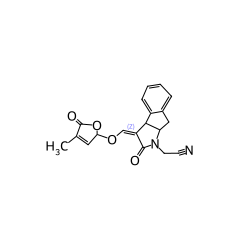 CC1=CC(O/C=C2\C(=O)N(CC#N)C3Cc4ccccc4C23)OC1=O